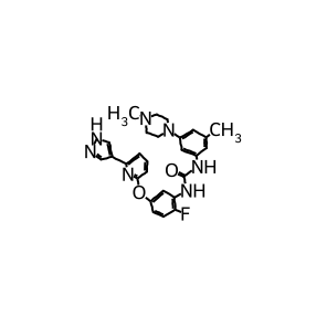 Cc1cc(NC(=O)Nc2cc(Oc3cccc(-c4cn[nH]c4)n3)ccc2F)cc(N2CCN(C)CC2)c1